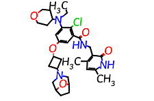 CCN(c1cc(O[C@H]2C[C@H](N3CC4CCC(C3)O4)C2)cc(C(=O)NCc2c(C)cc(C)[nH]c2=O)c1Cl)C1CCOCC1